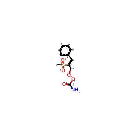 CS(=O)(=O)C(=Cc1ccccc1)COOC(N)=O